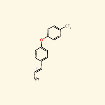 CCC/C=C/c1ccc(Oc2ccc(C(F)(F)F)cc2)cc1